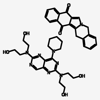 O=C1c2ccccc2C(=O)c2c1cn1c2Cc2ccccc2C1.OCCN(CCO)c1nc(N2CCCCC2)c2nc(N(CCO)CCO)ncc2n1